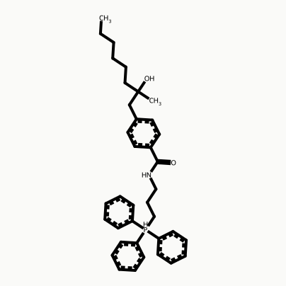 CCCCCCC(C)(O)Cc1ccc(C(=O)NCCC[PH](c2ccccc2)(c2ccccc2)c2ccccc2)cc1